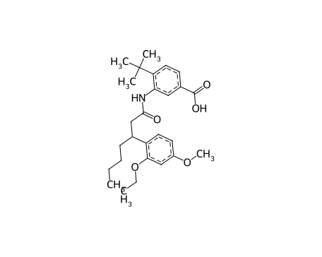 CCCCC(CC(=O)Nc1cc(C(=O)O)ccc1C(C)(C)C)c1ccc(OC)cc1OCC